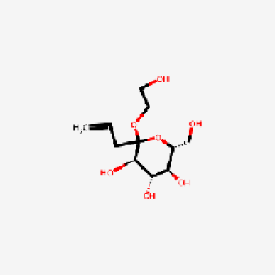 C=CCC1(OCCO)O[C@H](CO)[C@@H](O)[C@H](O)[C@H]1O